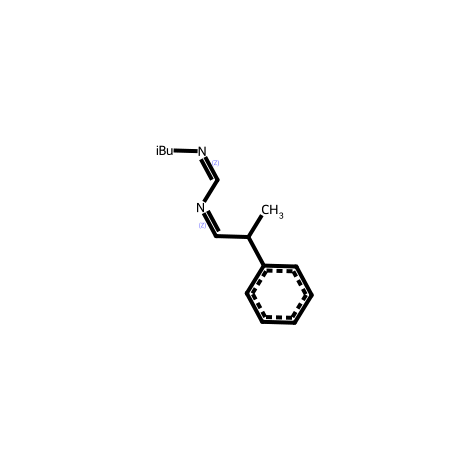 CCC(C)/N=C\N=C/C(C)c1ccccc1